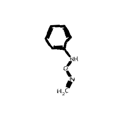 C=NONc1ccccc1